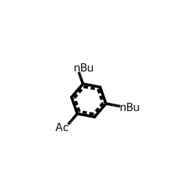 CCCCc1cc(CCCC)cc(C(C)=O)c1